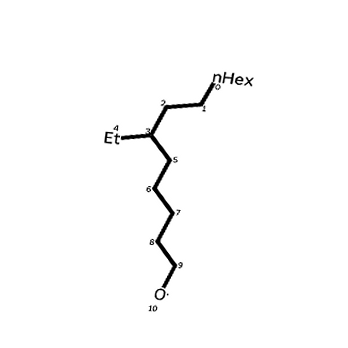 CCCCCCCCC(CC)CCCCC[O]